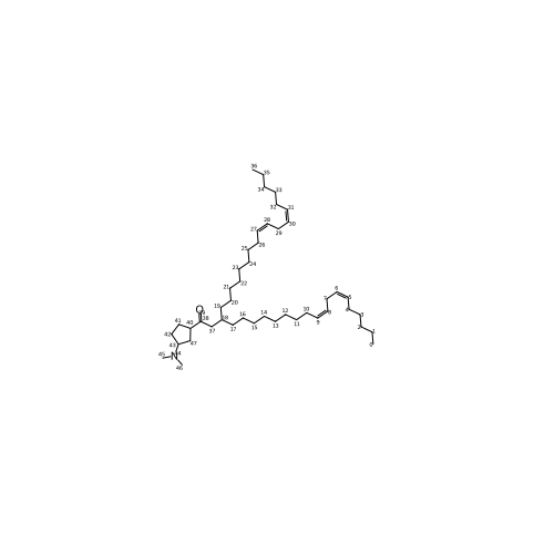 CCCCC/C=C\C/C=C\CCCCCCCCC(CCCCCCCC/C=C\C/C=C\CCCCC)CC(=O)C1CCC(N(C)C)C1